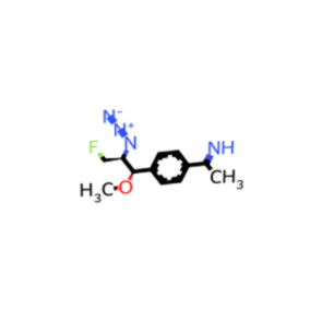 CO[C@H](c1ccc(C(C)=N)cc1)[C@@H](CF)N=[N+]=[N-]